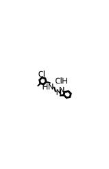 Cc1cc(Cl)cc(CNCCn2cc3ccccc3n2)c1.Cl